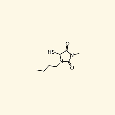 CCCCN1C(=O)N(C)C(=O)C1S